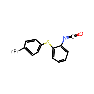 CCCc1ccc(Sc2ccccc2N=C=O)cc1